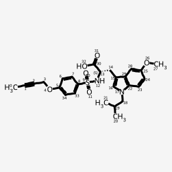 CC#CCOc1ccc(S(=O)(=O)N[C@@H](Cc2cn(CC(C)C)c3ccc(OC)cc23)C(=O)O)cc1